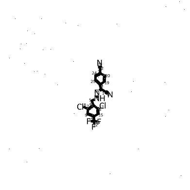 N#CC(=NNCc1c(Cl)cc(C(F)(F)F)cc1Cl)c1ccc(C#N)cc1